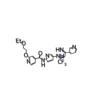 CCOCCOc1cc(C(=O)Nc2ccc(N/C(=C\C(=N)c3cccnc3)C(F)(F)F)cn2)ccn1